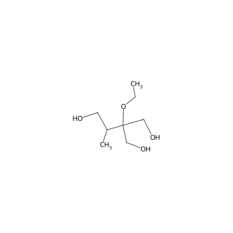 CCOC(CO)(CO)C(C)CO